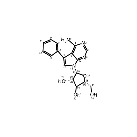 Nc1ncnc2c1c(-c1ccccc1)cn2[C@@H]1O[C@H](CO)C(O)[C@@H]1O